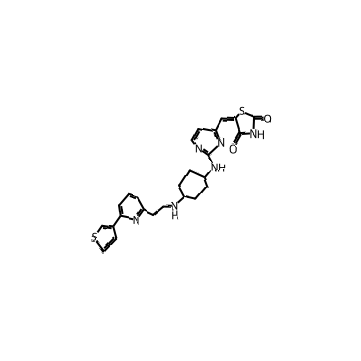 O=C1NC(=O)/C(=C\c2ccnc(NC3CCC(NCCc4cccc(-c5ccsc5)n4)CC3)n2)S1